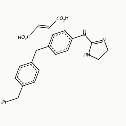 CC(C)Cc1ccc(Cc2ccc(NC3=NCCN3)cc2)cc1.O=C(O)C=CC(=O)O